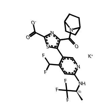 C[C@H](Nc1cc(C(F)F)c(-c2sc(C(=O)[O-])nc2C(=O)N2C3CCC2CC3)cn1)C(F)(F)F.[K+]